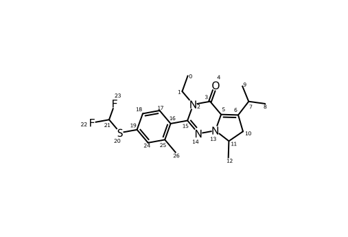 CCN1C(=O)C2=C(C(C)C)CC(C)N2N=C1c1ccc(SC(F)F)cc1C